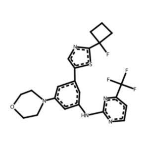 FC(F)(F)c1ccnc(Nc2cc(-c3cnc(C4(F)CCC4)s3)cc(N3CCOCC3)c2)n1